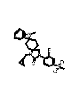 CNC1(c2ccccc2)CCC2(CC1)CN(c1ccc(S(C)(=O)=O)cc1F)C(=O)N2CC1CC1